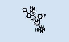 CS(=O)(=O)Nc1c(CC(Nc2ncc(-c3nnn[nH]3)cn2)c2ccc(F)cc2)cccc1C1=CCCC1